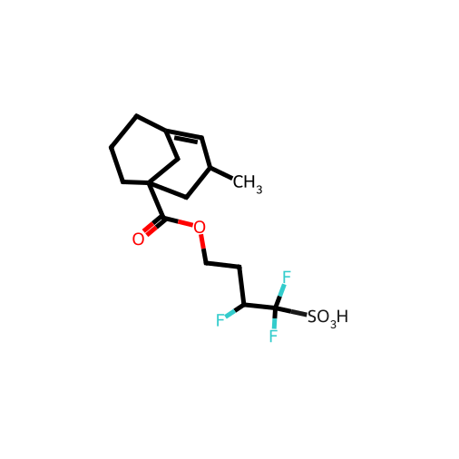 CC1C=C2CCCC(C(=O)OCCC(F)C(F)(F)S(=O)(=O)O)(C2)C1